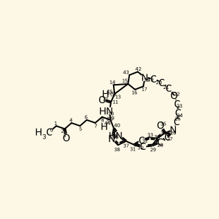 CCC(=O)CCCCC[C@H]1NC(=O)[C@H]2CC23CCN(CCCOCCCn2ccc4cc(ccc4c2=O)-c2cnc1[nH]2)CC3